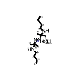 CCCCNC(C)(C)/N=N/C(C)(C)NCCCC.Cl.Cl